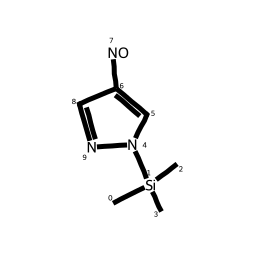 C[Si](C)(C)n1cc(N=O)cn1